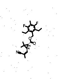 CCc1c(F)c(C)c(F)c(CC)c1COC(=O)[C@@H]1[C@@H](C=C(C)C#N)C1(C)C